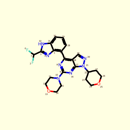 FC(F)c1nc2c(-c3nc(N4CCOCC4)nc4c3cnn4C3CCOCC3)cccc2[nH]1